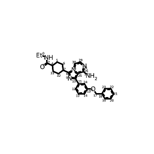 CCNC(=O)C1CCC(c2nc(-c3cccc(OCc4ccccc4)c3)c3c(N)nccn23)CC1